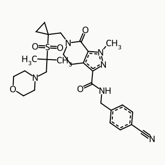 Cn1nc(C(=O)NCc2ccc(C#N)cc2)c2c1C(=O)N(CC1(S(=O)(=O)C(C)(C)CN3CCOCC3)CC1)CC2